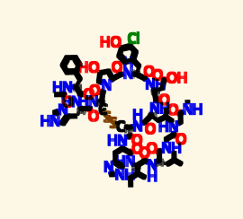 CCC(C)[C@H](NC(=O)C(Cc1c[nH]cn1)NC(=O)[C@@H]1CSSC[C@H](NC(=O)[C@H](Cc2c[nH]cn2)NC(=O)[C@H](Cc2ccccc2)NC(C)=O)C(=O)N2CC(O)CC2C(=O)N[C@@H](Cc2ccc(O)c(Cl)c2)C(=O)N[C@@H](CC(=O)O)C(=O)N[C@@H](CC(C)C)C(=O)N1)C(=O)N[C@@H](CC(C)C)C(=O)NCC(=O)NCC(=O)NC